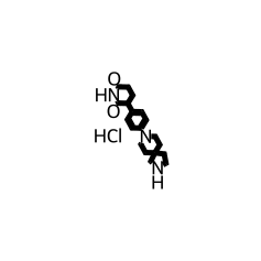 Cl.O=C1CCC(c2ccc(N3CCC4(CCNC4)CC3)cc2)C(=O)N1